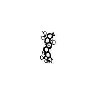 COC(=O)[C@]12CCC(C)(C)C[C@H]1[C@H]1C(=O)C=C3[C@@]4(C)Cc5cnoc5[C@@](C)(C(=O)Cl)[C@@H]4CC[C@@]3(C)[C@]1(C)CC2